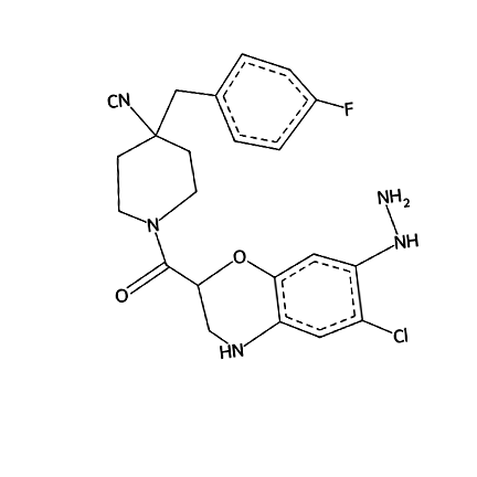 [C-]#[N+]C1(Cc2ccc(F)cc2)CCN(C(=O)C2CNc3cc(Cl)c(NN)cc3O2)CC1